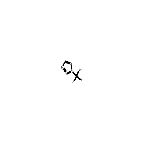 FC(F)(Br)n1ncnn1